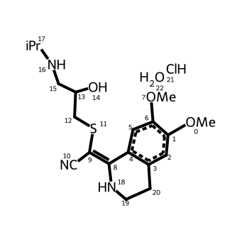 COc1cc2c(cc1OC)C(=C(C#N)SCC(O)CNC(C)C)NCC2.Cl.O